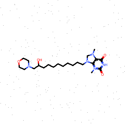 CN1CN(CCCCCCCCCC(O)CN2CCOCC2)c2c1c(=O)[nH]c(=O)n2C